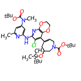 Cc1cc(N(C)C(=O)OC(C)(C)C)cc(Nc2nc3c(c(C4=CCN(C(=O)OC(C)(C)C)CC(O[Si](C)(C)C(C)(C)C)C4)c2Cl)OCCO3)n1